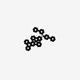 c1ccc(-c2ccc(N(c3cccc(-c4ccccc4)c3)c3ccc4c(c3)-c3ccccc3C43c4ccccc4-c4cc5c6ccccc6c6ccccc6c5cc43)cc2)cc1